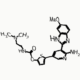 COc1ccc2nc(-c3cc(-c4ccc(OC(=O)NCCN(C)C)s4)cnc3N)[nH]c2c1